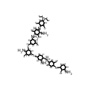 CCOCC.Cc1cc(C)c(N)c(C)c1.Cc1cc(C)cc(N)c1.Cc1ccc(C)c(N)c1.Cc1ccc(N)c(C)c1.Cc1ccc(N)cc1C.Cc1cccc(C)c1N.Cc1cccc(N)c1C